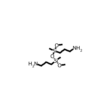 CO[Si](C)(CCCN)O[Si](C)(CCCN)OC